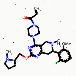 C=CC(=O)N1CCN(c2nc(OCC3CCCN3C)nc3c2CN(C)C(c2c(F)cccc2OC)C3)CC1